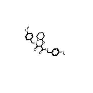 COc1ccc(COC(=O)C(OC2CCCCO2)C(=O)OCc2ccc(OC)cc2)cc1